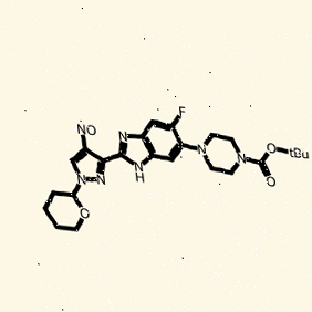 CC(C)(C)OC(=O)N1CCN(c2cc3[nH]c(-c4nn(C5CCCCO5)cc4N=O)nc3cc2F)CC1